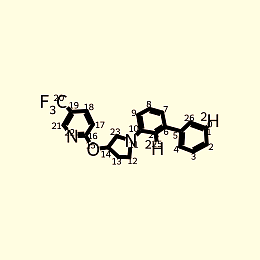 [2H]c1cccc(-c2cccc(N3CCC(Oc4ccc(C(F)(F)F)cn4)C3)c2[2H])c1